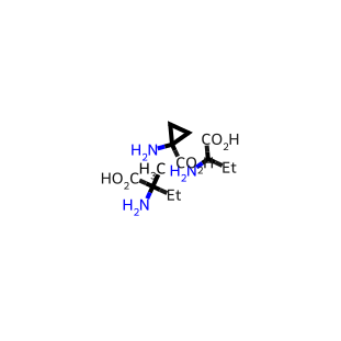 CCC(C)(N)C(=O)O.CCC(N)C(=O)O.NC1(C(=O)O)CC1